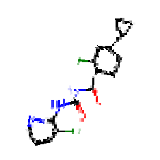 O=C(NC(=O)c1ccc(C2CC2)cc1F)Nc1ncccc1Cl